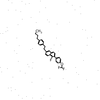 CCCCc1ccc(CCc2ccc3c(F)c(-c4ccc(OC(F)F)cc4)ccc3c2)cc1